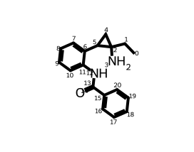 CCC1(N)CC1c1ccccc1NC(=O)c1ccccc1